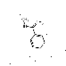 C=C(NC)C1=CCCC=C1